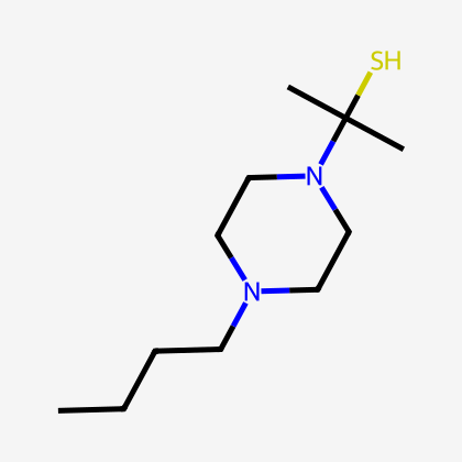 CCCCN1CCN(C(C)(C)S)CC1